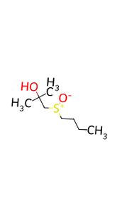 CCCC[S+]([O-])CC(C)(C)O